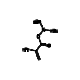 C=C(CCC)C(=O)ON(CCCC)CCCC